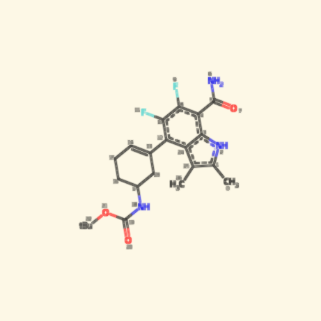 Cc1[nH]c2c(C(N)=O)c(F)c(F)c(C3=CCCC(NC(=O)OC(C)(C)C)C3)c2c1C